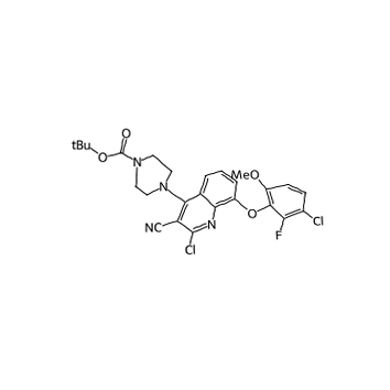 COc1ccc(Cl)c(F)c1Oc1cccc2c(N3CCN(C(=O)OC(C)(C)C)CC3)c(C#N)c(Cl)nc12